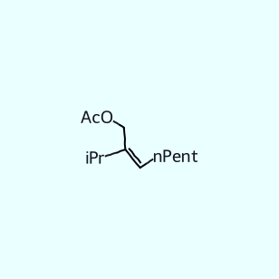 CCCCCC=C(COC(C)=O)C(C)C